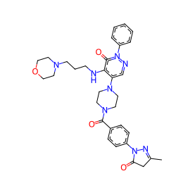 CC1=NN(c2ccc(C(=O)N3CCN(c4cnn(-c5ccccc5)c(=O)c4NCCCN4CCOCC4)CC3)cc2)C(=O)C1